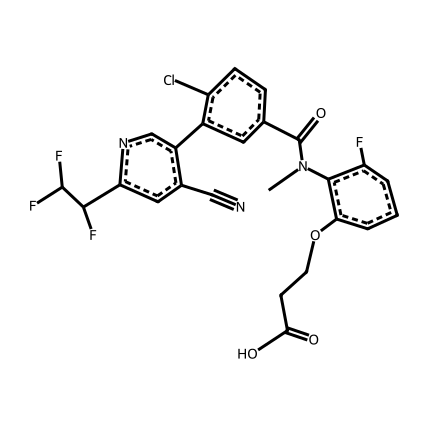 CN(C(=O)c1ccc(Cl)c(-c2cnc(C(F)C(F)F)cc2C#N)c1)c1c(F)cccc1OCCC(=O)O